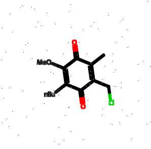 CCCCC1=C(OC)C(=O)C(C)=C(CCl)C1=O